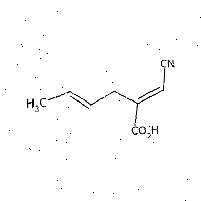 CC=CCC(=CC#N)C(=O)O